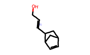 OC/C=C/C1CC2C=CC1C2